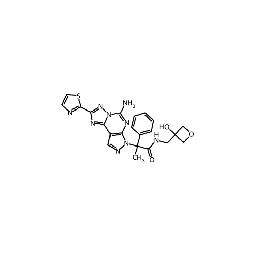 CC(C(=O)NCC1(O)COC1)(c1ccccc1)n1ncc2c1nc(N)n1nc(-c3nccs3)nc21